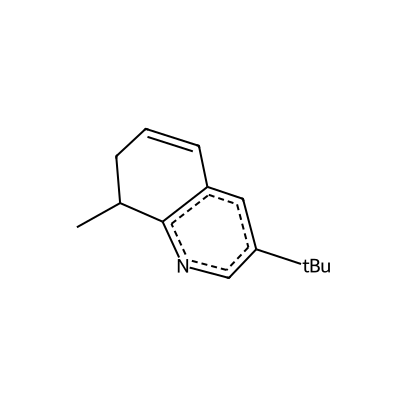 CC1CC=Cc2cc(C(C)(C)C)cnc21